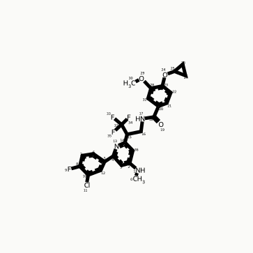 CNc1cc(-c2ccc(F)c(Cl)c2)nc(C(CNC(=O)c2ccc(OC3CC3)c(OC)c2)C(F)(F)F)c1